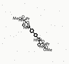 COC(=O)NC(C(=O)N1CCC[C@H]1c1ncc(-c2ccc(-c3ccc(-c4cnc(C5=C(C(=O)N(NC(=O)OC)C(C)C)CCC5)[nH]4)cc3)cc2)[nH]1)C(C)C